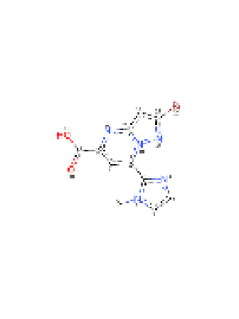 Cn1ccnc1-c1cc(C(=O)O)nc2cc(Br)nn12